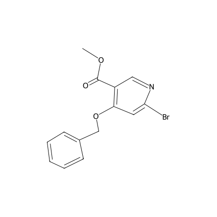 COC(=O)c1cnc(Br)cc1OCc1ccccc1